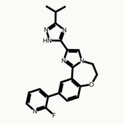 CC(C)c1n[nH]c(-c2cn3c(n2)-c2cc(-c4cccnc4F)ccc2OCC3)n1